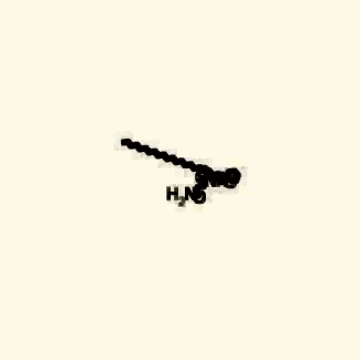 CCCCCCCCCCCCCCCCCCOCC(COC1CCCCO1)NC(=O)CCC(N)=O